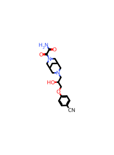 N#Cc1ccc(OCC(O)CN2CC3CC(C2)CN(C(=O)C(N)=O)C3)cc1